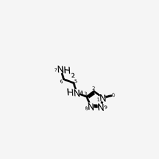 Cn1cc(NCCN)nn1